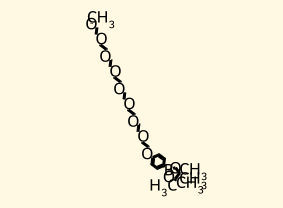 COCCOCCOCCOCCOCCOCCOCCOCCOc1ccc(B2OC(C)(C)C(C)(C)O2)cc1